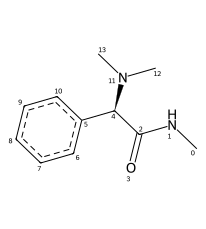 CNC(=O)[C@@H](c1ccccc1)N(C)C